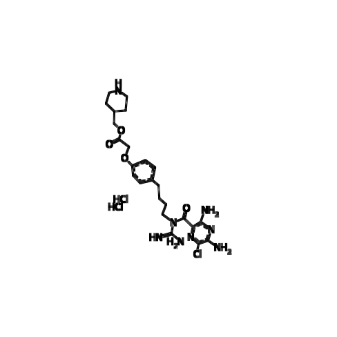 Cl.Cl.N=C(N)N(CCCCc1ccc(OCC(=O)OCC2CCNCC2)cc1)C(=O)c1nc(Cl)c(N)nc1N